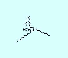 CCCCCCCCCc1cc(CCCCCCCCC)c(O)c(CCN(CC(C)C)CC(C)C)c1